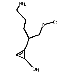 CCOCC(CCCN)C1=CC1O